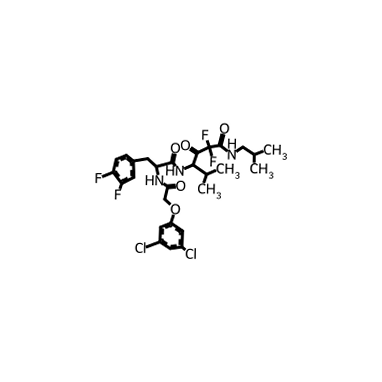 CC(C)CNC(=O)C(F)(F)C(=O)C(NC(=O)C(Cc1ccc(F)c(F)c1)NC(=O)COc1cc(Cl)cc(Cl)c1)C(C)C